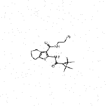 CC(C)CCNC(=O)c1c(NC(=O)C2C(C)(C)C2(C)C)sc2c1CCCC2